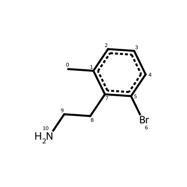 Cc1cccc(Br)c1CCN